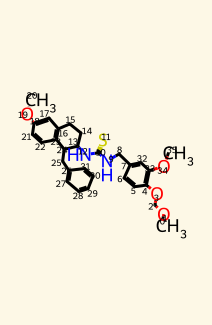 COCOc1ccc(CNC(=S)NC2CCc3cc(OC)ccc3C2Cc2ccccc2)cc1OC